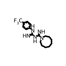 N=C(NC(=N)N1CCCCCCCC1)Nc1ccc(C(F)(F)F)cc1